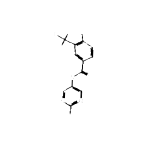 O=C(Nc1cnc(Cl)nc1)c1ccc(F)c(C(F)(F)F)c1